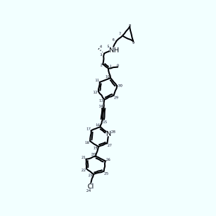 CC(=C[C@H](C)NCC1CC1)c1ccc(C#Cc2ccc(-c3ccc(Cl)cc3)cn2)cc1